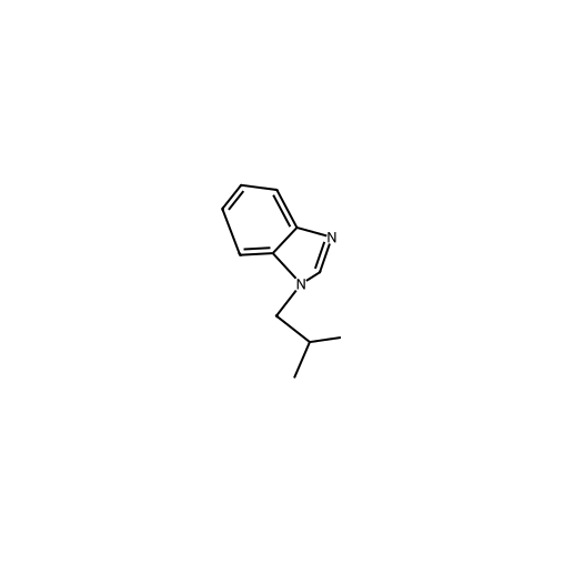 CC(C)Cn1cnc2ccccc21